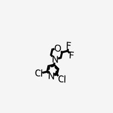 FC(F)C1CN(c2cc(Cl)nc(Cl)c2)CCO1